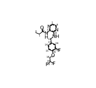 CCC(=O)Nc1nccnc1NCc1ccc(OCC(F)F)c(F)c1